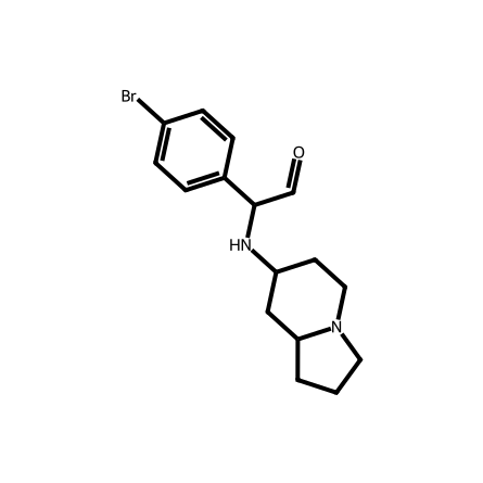 O=CC(NC1CCN2CCCC2C1)c1ccc(Br)cc1